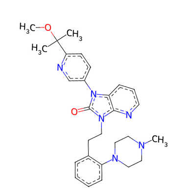 COC(C)(C)c1ccc(-n2c(=O)n(CCc3ccccc3N3CCN(C)CC3)c3ncccc32)cn1